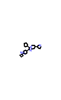 NC1(c2ccc(-c3nc4cc(-c5cccnc5)ccn4c3-c3ccccc3)cc2)CCC1